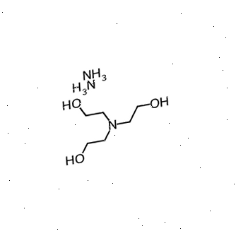 N.N.OCCN(CCO)CCO